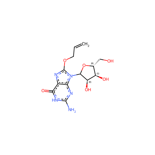 C=CCOc1nc2c(=O)[nH]c(N)nc2n1C1O[C@H](CO)[C@@H](O)[C@H]1O